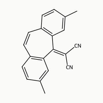 Cc1ccc2c(c1)C(=C(C#N)C#N)c1cc(C)ccc1C=C2